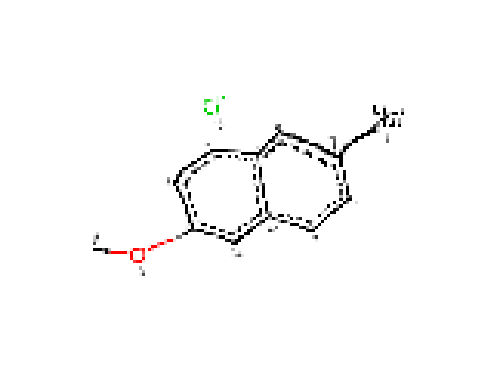 COc1ccc2c[c]([Mn+])ccc2c1.[Cl-]